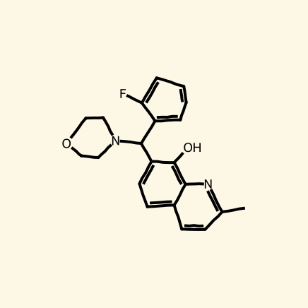 Cc1ccc2ccc(C(c3ccccc3F)N3CCOCC3)c(O)c2n1